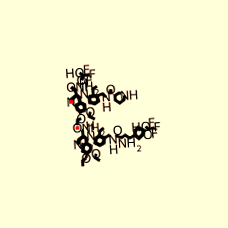 CCOc1cc2ncc(C(N)=O)c(Nc3cccc(CNC(=O)[C@@H](N)CCc4ccccc4)c3CC)c2cc1OCC.CCOc1cc2ncc(C(N)=O)c(Nc3cccc(CNC(=O)[C@H]4CCCNC4)c3CC)c2cc1OCC.O=C(O)C(F)(F)F.O=C(O)C(F)(F)F